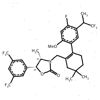 COc1cc(F)c(C(C)C(F)(F)F)cc1C1=C(CN2C(=O)O[C@H](c3cc(C(F)(F)F)cc(C(F)(F)F)c3)[C@@H]2C)CC(C)(C)CC1